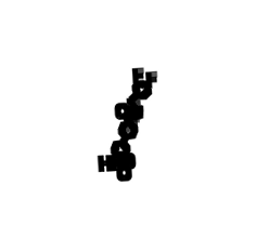 O=C1[C@H](N2CCC(c3ccc4[nH]c(=O)oc4c3)CC2)CCN1Cc1ccc(F)c(F)c1